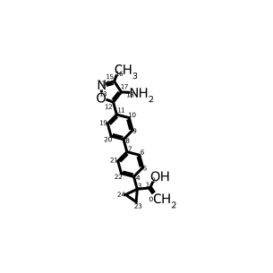 C=C(O)C1(c2ccc(-c3ccc(-c4onc(C)c4N)cc3)cc2)CC1